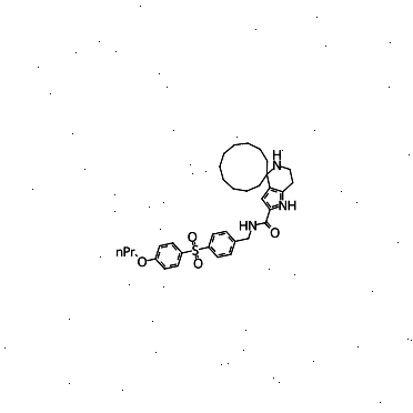 CCCOc1ccc(S(=O)(=O)c2ccc(CNC(=O)c3cc4c([nH]3)CCNC43CCCCCCCCCC3)cc2)cc1